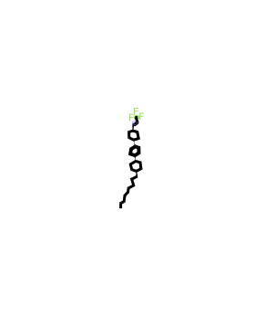 CCCCCCCCC[C@H]1CC[C@H](c2ccc([C@H]3CC[C@H](/C=C/C(F)(F)F)CC3)cc2)CC1